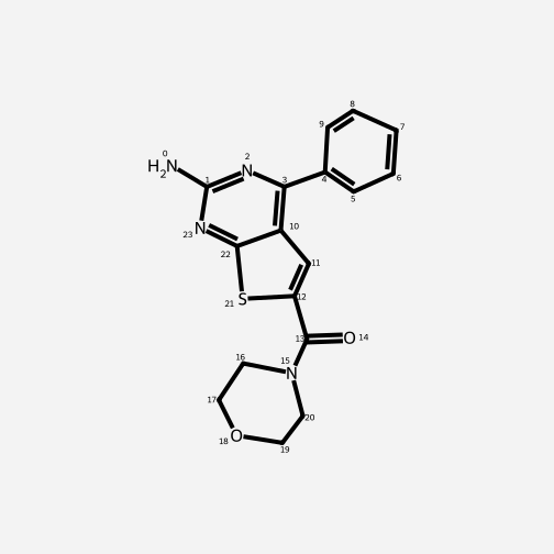 Nc1nc(-c2ccccc2)c2cc(C(=O)N3CCOCC3)sc2n1